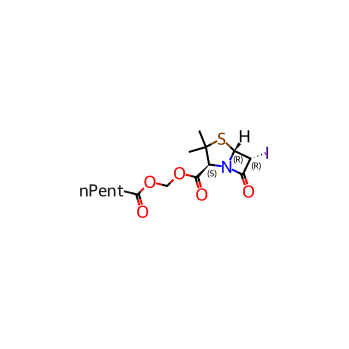 CCCCCC(=O)OCOC(=O)[C@@H]1N2C(=O)[C@@H](I)[C@H]2SC1(C)C